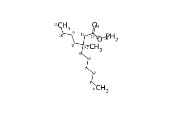 CCCCCCC(C)(CCCC)CC(=O)OP